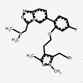 Cc1nn(C)c(CC(C)C)c1CCOc1cc(F)ccc1-c1ccc2nnc(CN(C)C)n2c1